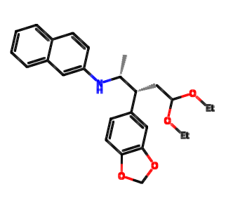 CCOC(C[C@H](c1ccc2c(c1)OCO2)[C@@H](C)Nc1ccc2ccccc2c1)OCC